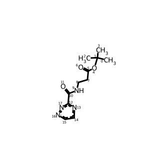 CC(C)(C)OC(=O)CCNC(=O)c1nccnn1